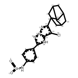 O=[SH](=O)Nc1ccc(-c2nn3nc(C45CC6CC(CC(C6)C4)C5)c(Cl)c3[nH]2)cc1